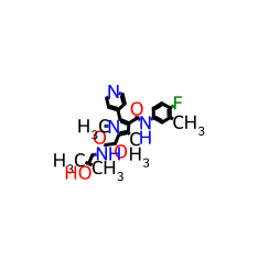 Cc1cc(NC(=O)c2c(C)c(C(=O)C(=O)NCC(C)(C)O)n(C)c2-c2ccncc2)ccc1F